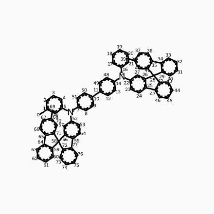 Cc1cccc(N(c2ccc(-c3ccc(N(c4ccccc4)c4ccc5c(c4)C4(c6ccccc6-c6ccc(C)cc64)c4ccccc4-5)cc3)cc2)c2ccc3c(c2)C2(c4ccccc4-c4ccc(C)cc42)c2ccccc2-3)c1